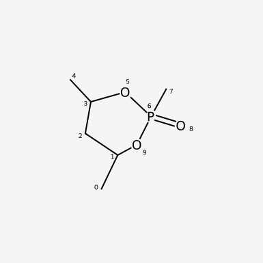 CC1CC(C)OP(C)(=O)O1